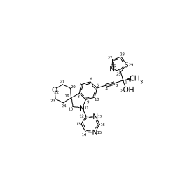 C[C@@](O)(C#Cc1ccc2c(c1)N(c1ccncn1)CC21CCOCC1)c1nccs1